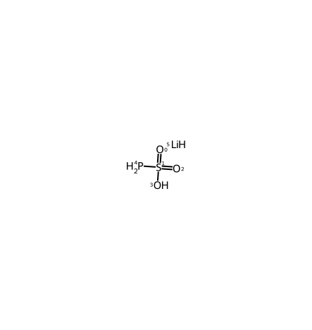 O=S(=O)(O)P.[LiH]